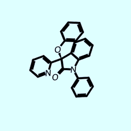 O=C1N(c2ccccc2)c2ccccc2[C@@]1(Oc1ccccc1)c1ccccn1